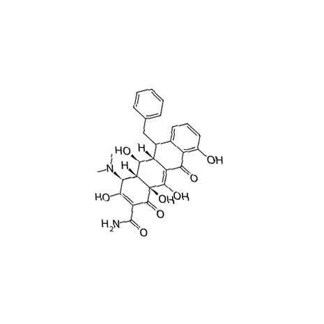 CN(C)[C@@H]1C(O)=C(C(N)=O)C(=O)[C@@]2(O)C(O)=C3C(=O)c4c(O)cccc4C(Cc4ccccc4)[C@H]3[C@H](O)[C@@H]12